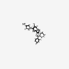 Cc1cc(F)ccc1C(=O)N1CCCC[C@H]1c1cc2nc(N3CC[C@H](C#N)C3)c(C)cn2n1